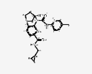 Cc1ccc(NC(=O)N2c3nc(C(=O)NCC4CC4)ccc3N3CC[C@H]2C3)nc1